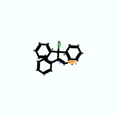 P/C=C(/c1ccccc1)C(Cl)(c1ccccc1)c1ccccc1